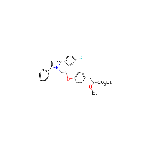 CCOC(=O)C(Cc1ccc(OCCn2c(-c3ccccc3)ccc2-c2ccc(F)cc2)cc1)OCC